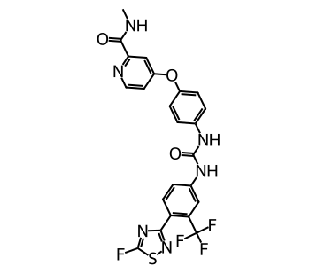 CNC(=O)c1cc(Oc2ccc(NC(=O)Nc3ccc(-c4nsc(F)n4)c(C(F)(F)F)c3)cc2)ccn1